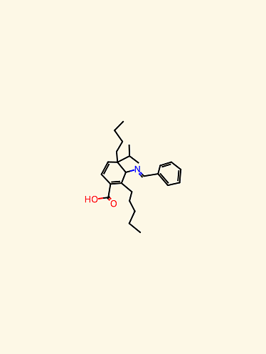 CCCCCC1=C(C(=O)O)C=CC(CCCC)(C(C)C)C1N=Cc1ccccc1